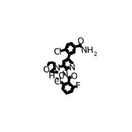 CN(C(=O)c1c(F)cccc1Cl)c1ncc(-c2cc(C(N)=O)ccc2Cl)cc1N1CC2CC1CO2